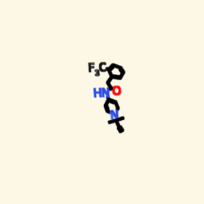 C#CC(C)(C)N1C=CC(NC(=O)Cc2ccccc2C(F)(F)F)=CC1